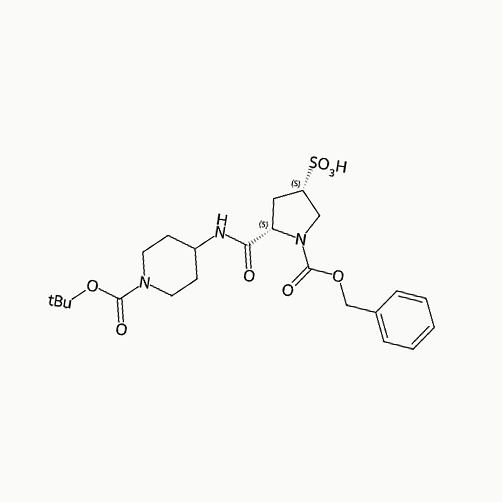 CC(C)(C)OC(=O)N1CCC(NC(=O)[C@@H]2C[C@H](S(=O)(=O)O)CN2C(=O)OCc2ccccc2)CC1